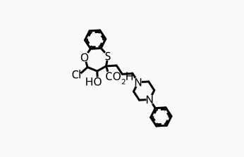 O=C(O)C1(CCCN2CCN(c3ccccc3)CC2)Sc2ccccc2OC(Cl)C1O